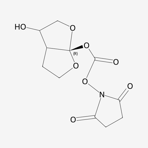 O=C(ON1C(=O)CCC1=O)O[C@@]12OCCC1C(O)CO2